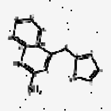 Nc1cc(Cc2cccs2)c2ccccc2n1